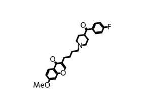 COc1ccc2c(=O)c(CCCCN3CCC(C(=O)c4ccc(F)cc4)CC3)coc2c1